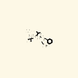 COc1cnc(N2CCS(=O)(=O)c3ccccc3C2)nc1NCC1(N)COC1